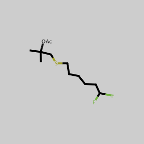 CC(=O)OC(C)(C)CSCCCCCC(F)F